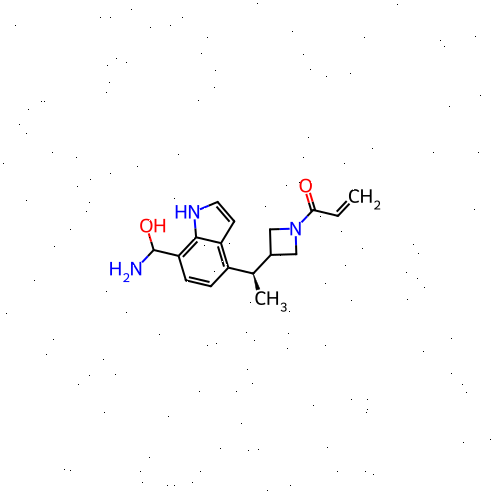 C=CC(=O)N1CC([C@@H](C)c2ccc(C(N)O)c3[nH]ccc23)C1